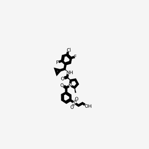 C[C@@H]1CC[C@H](C(=O)N[C@@H](c2cc(F)c(Cl)cc2F)C2CC2)N1C(=O)c1cccc(S(=O)(=O)CCO)c1